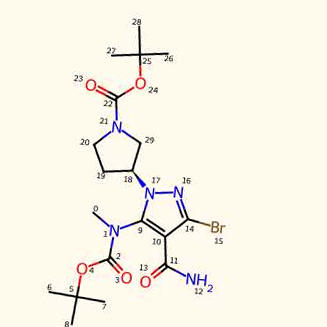 CN(C(=O)OC(C)(C)C)c1c(C(N)=O)c(Br)nn1[C@H]1CCN(C(=O)OC(C)(C)C)C1